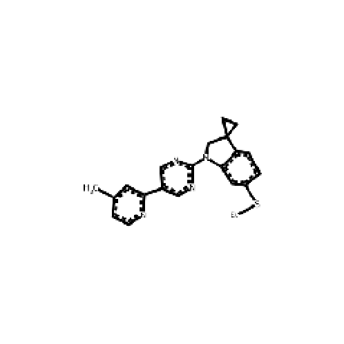 CCSc1ccc2c(c1)N(c1ncc(-c3cc(C)ccn3)cn1)CC21CC1